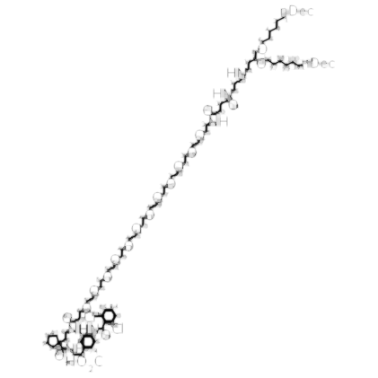 CCCCCCCCCCCCCCCCOCC(CCNCCCNC(=O)CCC(=O)NCCOCCOCCOCCOCCOCCOCCOCCOCCOCCOCCOCCOCCC(=O)NCCC1(C(=O)NC(Cc2ccc(NC(=O)c3c(Cl)cccc3Cl)cc2)C(=O)O)CCCC1)OCCCCCCCCCCCCCCCC